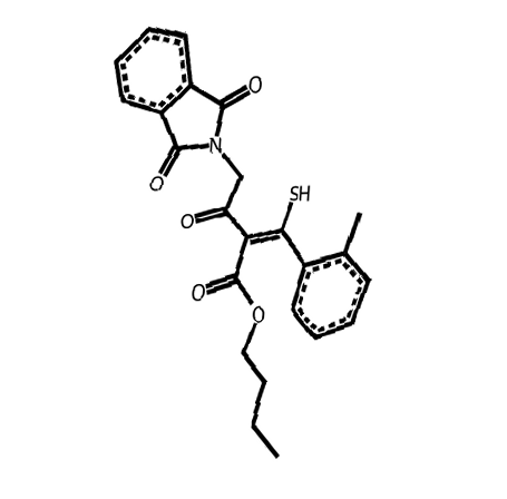 CCCCOC(=O)C(C(=O)CN1C(=O)c2ccccc2C1=O)=C(S)c1ccccc1C